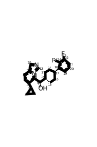 O[C@H](c1c(C2CC2)ccc2cncn12)[C@H]1CC[C@H](c2cccc(F)c2F)CC1